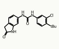 CC(C)(C)c1ccc(NC(=O)Nc2ccc3c(c2)NC(=O)C3)cc1Cl